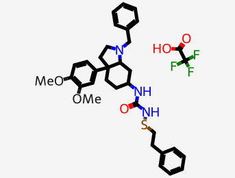 COc1ccc(C23CCC(NC(=O)NSCCc4ccccc4)CC2N(Cc2ccccc2)CC3)cc1OC.O=C(O)C(F)(F)F